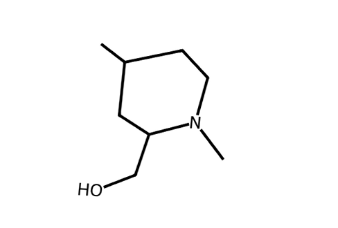 CC1CCN(C)C(CO)C1